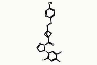 Cc1cc(F)c([C@H]2CC=NN2C(=O)C23CC(COc4cnc(C#N)cn4)(C2)C3)cc1F